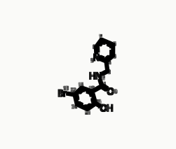 O=C(NCc1ccccn1)c1cc(Br)ccc1O